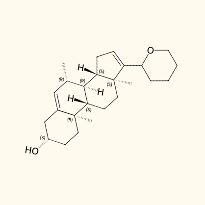 C[C@H]1C=C2C[C@@H](O)CC[C@]2(C)[C@H]2CC[C@]3(C)C(C4CCCCO4)=CC[C@H]3[C@H]12